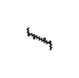 CCCCC1OC1CCOC(=O)CCCCCCC(=O)OCCC1OC1CCCC